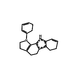 C1=CCCC(N2CCC3=C2c2[nH]c4c(c2CC3)CCC=C4)=C1